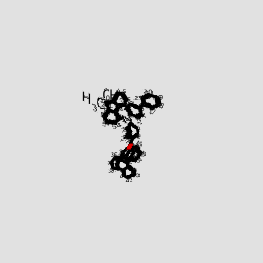 CC1(C)c2ccccc2-c2c(N(c3ccc(-c4ccccc4)cc3)c3ccc(-c4ccc5c(c4)-c4c6cccc4-c4cccc-5c4-c4ccccc4-6)cc3)cccc21